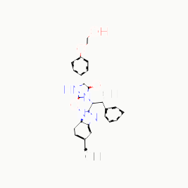 C#CC1=CCC2=NC([C@H]([C@H](C)c3ccccc3)N3C(=O)N[C@H](c4ccc(OCCO)cc4)C3=O)=NC2=C1